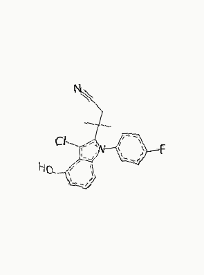 CC(C)(CC#N)c1c(Cl)c2c(O)cccc2n1-c1ccc(F)cc1